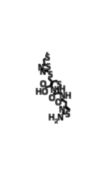 CSCc1nnc(SCC2=C(C(=O)O)N3C(=O)C(NC(=O)Cc4csc(N)n4)[C@H]3SC2)s1